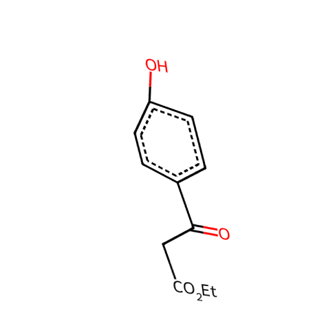 CCOC(=O)CC(=O)c1ccc(O)cc1